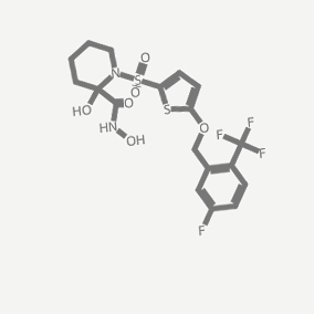 O=C(NO)C1(O)CCCCN1S(=O)(=O)c1ccc(OCc2cc(F)ccc2C(F)(F)F)s1